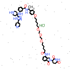 C[C@H](NC(=O)c1cccc(NC2(c3nnc(-c4ccncc4)[nH]3)CCNCC2)c1)c1ccc(OCCCCCCOCCOCCOCCCCCC(=O)Nc2cccc3c2CN(C2CCC(=O)NC2=O)C3=O)cc1.Cl